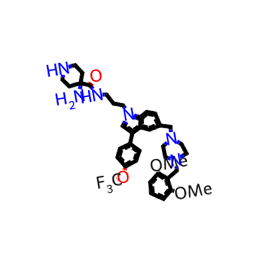 COc1cccc(OC)c1CN1CCN(Cc2ccc3c(c2)c(-c2ccc(OC(F)(F)F)cc2)cn3CCCNC(=O)C2(N)CCNCC2)CC1